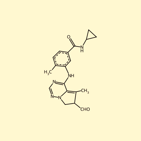 CC1=C2C(Nc3cc(C(=O)NC4CC4)ccc3C)=NC=NN2CC1C=O